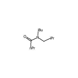 [CH2]CCC(=O)N(CC(C)C)C(C)CC